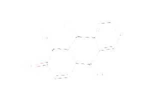 O=c1ccc2c(=O)c3ccccc3c(=O)c=2c1=O